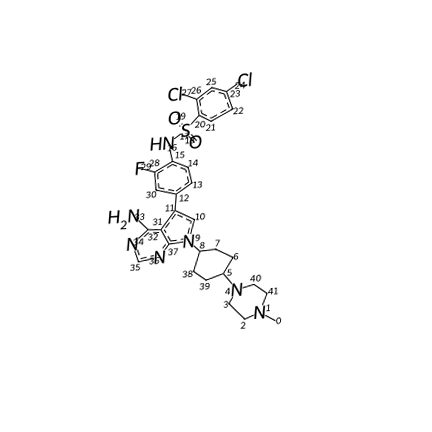 CN1CCN(C2CCC(n3cc(-c4ccc(NS(=O)(=O)c5ccc(Cl)cc5Cl)c(F)c4)c4c(N)ncnc43)CC2)CC1